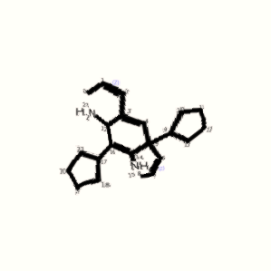 C/C=C\C1=CC(/C=C\C)(C2CCCC2)C(N)=C(C2CCCC2)C1N